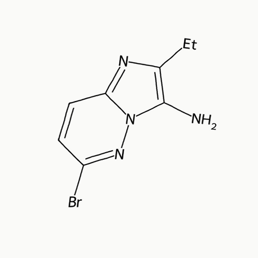 CCc1nc2ccc(Br)nn2c1N